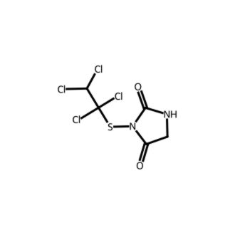 O=C1CNC(=O)N1SC(Cl)(Cl)C(Cl)Cl